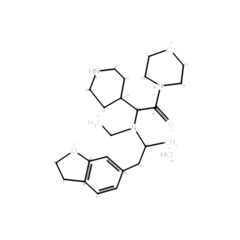 CCN(C(C)Cc1ccc2c(c1)OCC2)C(C(=O)N1CCOCC1)C1CCNCC1.Cl